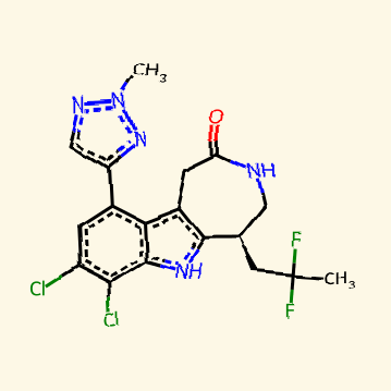 Cn1ncc(-c2cc(Cl)c(Cl)c3[nH]c4c(c23)CC(=O)NC[C@H]4CC(C)(F)F)n1